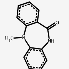 CN1c2ccccc2NC(=O)c2ccccc21